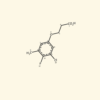 Cc1cc(OCCC(=O)O)cc(Cl)c1F